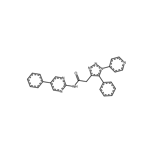 O=C(Cc1nnn(-c2ccncc2)c1-c1ccccc1)Nc1ncc(-c2ccccc2)cn1